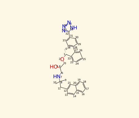 C[C@@H](OCC(O)CNC(C)(C)Cc1ccc2ccccc2c1)c1ccccc1-c1ccc(-c2nnn[nH]2)cc1